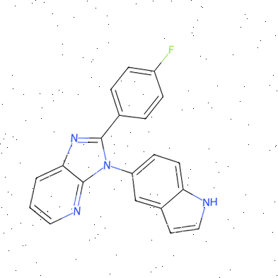 Fc1ccc(-c2nc3cccnc3n2-c2ccc3[nH]ccc3c2)cc1